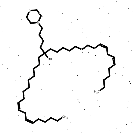 CCCCC/C=C\C/C=C\CCCCCCCCC(O)(CCCCCCCC/C=C\C/C=C\CCCCC)CCCCN1CCOCC1